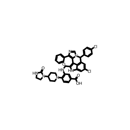 O=C(O)c1ccc(N2CCC(N3CCNC3=O)CC2)c(NC(=O)c2[nH]c3cc(Cl)cc4c3c2-c2c(-c3ccccc3)ncn2C4c2ccc(Cl)cc2)c1